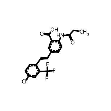 CCC(=O)Nc1ccc(C=Cc2ccc(Cl)cc2C(F)(F)F)cc1C(=O)O